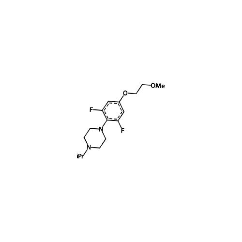 COCCOc1cc(F)c(N2CCN(C(C)C)CC2)c(F)c1